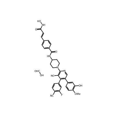 COc1ccc(-c2cnc(N3CCC(NC(=O)c4ccc(/C=C/C(=O)NO)cc4)CC3)c(C#N)c2-c2ccc(C#N)c(F)c2)cc1O.O=CO